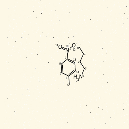 CCCCN.Cc1ccc([N+](=O)[O-])cc1